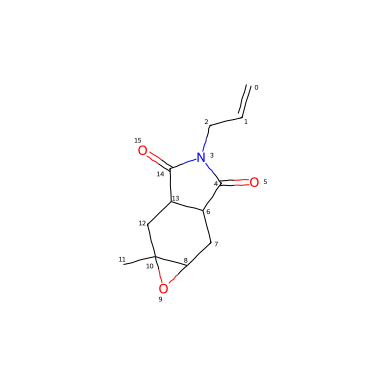 C=CCN1C(=O)C2CC3OC3(C)CC2C1=O